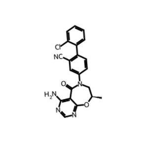 C[C@@H]1CN(c2ccc(-c3ccccc3Cl)c(C#N)c2)C(=O)c2c(N)ncnc2O1